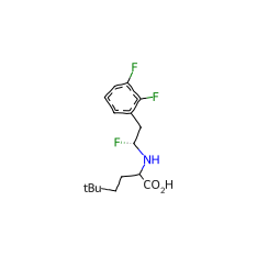 CC(C)(C)CCC(N[C@H](F)Cc1cccc(F)c1F)C(=O)O